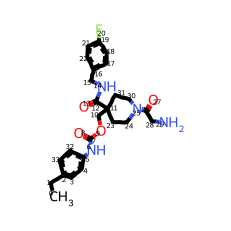 CCc1ccc(NC(=O)OCC2(C(=O)NCc3ccc(F)cc3)CCN(C(=O)CN)CC2)cc1